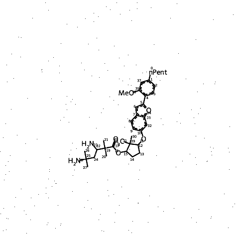 CCCCCc1ccc(-c2cc3ccc(OC4CCC(OC(=O)C(C)(C)C(N)CC(C)(C)N)C4(C)C(F)(F)F)cc3o2)c(OC)c1